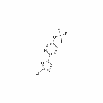 FC(F)(F)Oc1ccc(-c2cnc(Cl)o2)nc1